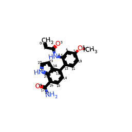 C=CC(=O)Nc1cc(OC)ccc1-c1ccc(C(N)=O)c2[nH]ccc12